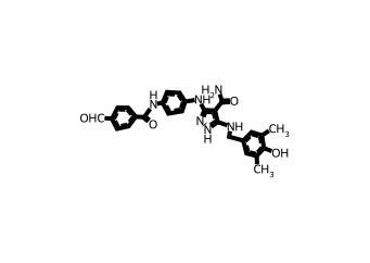 Cc1cc(CNc2[nH]nc(Nc3ccc(NC(=O)c4ccc(C=O)cc4)cc3)c2C(N)=O)cc(C)c1O